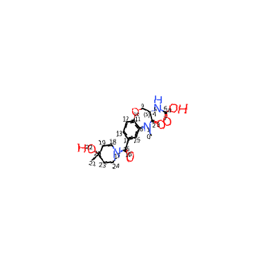 CN1C(=O)[C@@H](NC(=O)O)COc2ccc(C(=O)N3CCC(C)(O)CC3)cc21